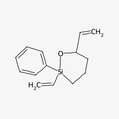 C=CC1CCC[Si](C=C)(c2ccccc2)O1